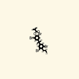 C=C(C)C(=O)Oc1c(Br)cc(C(C)(C)c2cc(Br)c(CCC)c(Br)c2)cc1Br